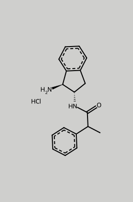 CC(C(=O)N[C@H]1Cc2ccccc2[C@@H]1N)c1ccccc1.Cl